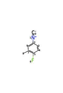 [C-]#[N+]c1ccc(F)c(C)c1